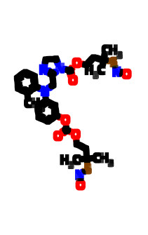 Cc1ccccc1N(CC1=NCCN1C(=O)OCCC(C)(C)SN=O)c1cccc(OC(=O)OCCC(C)(C)SN=O)c1